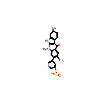 CCCCn1c2cc(-c3cncc(OS(=O)(=O)F)c3)c(C)cc2c(=O)c2c3ccc(C#N)cc3[nH]c21